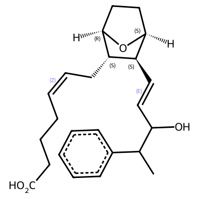 CC(c1ccccc1)C(O)/C=C/[C@H]1[C@H](C/C=C\CCCC(=O)O)[C@H]2CC[C@@H]1O2